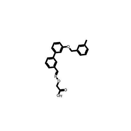 Cc1cccc(COc2cccc(-c3cccc(C=NOCC(=O)O)c3)c2)c1